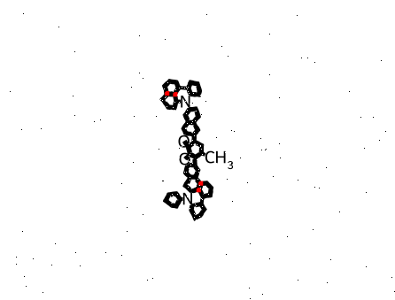 Cc1cc2c3cc4ccc(N(c5ccccc5)c5ccccc5-c5ccccc5)cc4cc3oc2c2oc3cc4cc(N(c5ccccc5)c5ccccc5-c5ccccc5)ccc4cc3c12